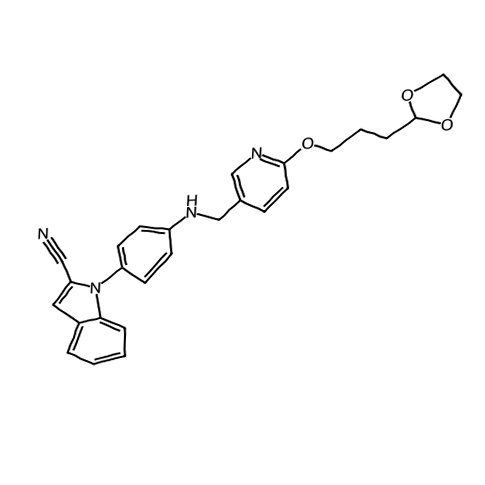 N#Cc1cc2ccccc2n1-c1ccc(NCc2ccc(OCCCC3OCCO3)nc2)cc1